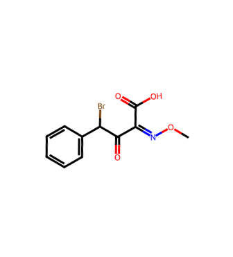 CO/N=C(\C(=O)O)C(=O)C(Br)c1ccccc1